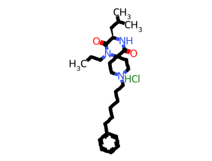 CCCN1C(=O)[C@@H](CC(C)C)NC(=O)C12CCN(CCCCCCc1ccccc1)CC2.Cl